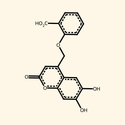 O=C(O)c1ccccc1OCc1cc(=O)oc2cc(O)c(O)cc12